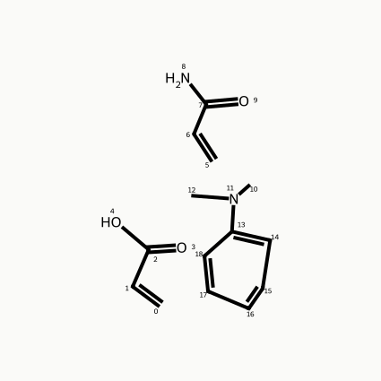 C=CC(=O)O.C=CC(N)=O.CN(C)c1ccccc1